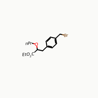 CCCOC(Cc1ccc(CBr)cc1)C(=O)OCC